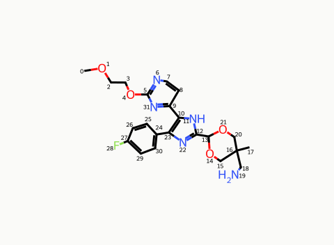 COCCOc1nccc(-c2[nH]c(C3OCC(C)(CN)CO3)nc2-c2ccc(F)cc2)n1